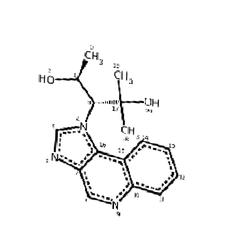 C[C@H](O)[C@@H](n1cnc2cnc3ccccc3c21)C(C)(C)O